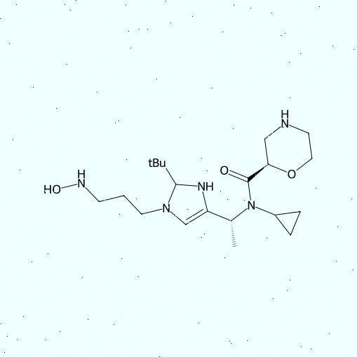 C[C@H](C1=CN(CCCNO)C(C(C)(C)C)N1)N(C(=O)[C@H]1CNCCO1)C1CC1